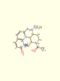 CC(C)(C)C1CC(N(Cc2ccc3ccc(=O)[nH]c3n2)C(=O)O)CCN1C(=O)C(F)(F)F